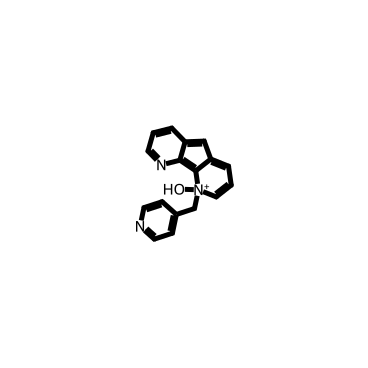 O[N+]1(Cc2ccncc2)C=CC=C2C=c3cccnc3=C21